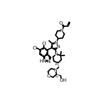 C=CC(=O)N1CCC(n2nc(N3CC[C@@H](CN4CCOC[C@@H]4CO)CC3(C)C)c(-c3c(Cl)c(Cl)cc4[nH]ncc34)c2C)CC1